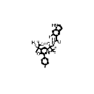 C[C@]1(C(N)=O)COc2c1cc([C@@](O)(CNC(=O)c1cc3cc[nH]c3cc1F)C(F)(F)F)nc2-c1ccc(F)cc1